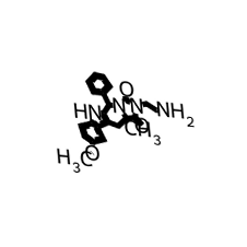 COc1ccc2[nH]c3c(c2c1)CC1(C)C(=O)N(CCN)C(=O)N1C3c1ccccc1